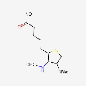 CNC1CSC(CCCCC(=O)N=O)C1NC=O